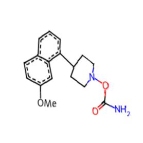 COc1ccc2cccc(C3CCN(OC(N)=O)CC3)c2c1